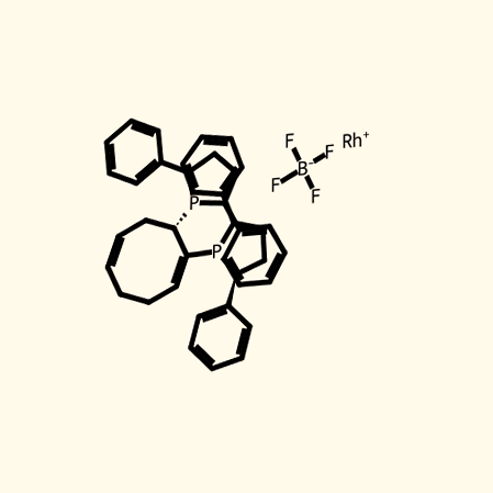 C1=C\C[C@H](P2C(c3ccccc3)CCC2c2ccccc2)/C(P2C(c3ccccc3)CC[C@H]2c2ccccc2)=C\CC/1.F[B-](F)(F)F.[Rh+]